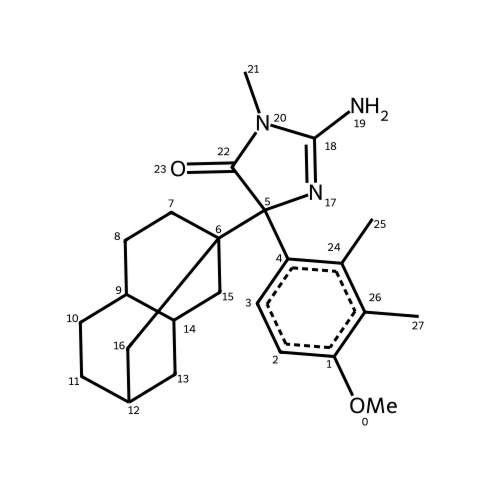 COc1ccc(C2(C34CCC5CCC(CC5C3)C4)N=C(N)N(C)C2=O)c(C)c1C